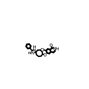 CCCC1(NCc2ccccc2)CCCC(Oc2cc3cc[nH]c(=O)c3cc2Cl)CCC1